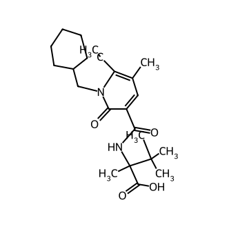 CCc1c(C)cc(C(=O)NC(C)(C(=O)O)C(C)(C)C)c(=O)n1CC1CCCCC1